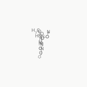 COCC(=O)Nc1nc(-c2cccc(C#N)c2)cc(-c2cn(Cc3cccc(COCC4CCCC4)n3)nn2)n1